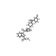 CC(=O)n1cc(C(=O)NOC(=O)c2ccc(Nc3cccc(F)c3)cc2)c2ccccc21